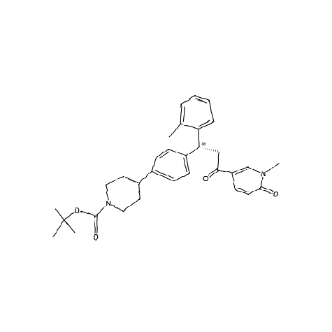 Cc1ccccc1[C@H](CC(=O)c1ccc(=O)n(C)c1)c1ccc(C2CCN(C(=O)OC(C)(C)C)CC2)cc1